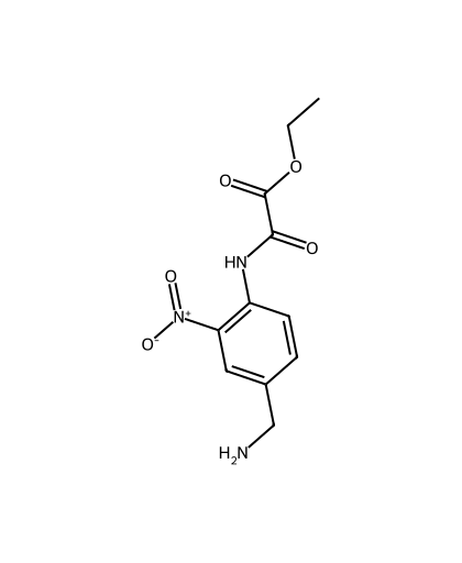 CCOC(=O)C(=O)Nc1ccc(CN)cc1[N+](=O)[O-]